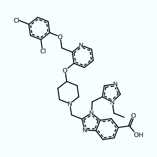 CCn1cncc1Cn1c(CN2CCC(Oc3cccnc3COc3ccc(Cl)cc3Cl)CC2)nc2ccc(C(=O)O)cc21